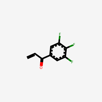 C=CC(=O)c1cc(F)c(F)c(F)c1